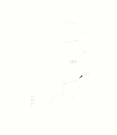 O=C(NC1CCCCC1)N[C@H]1CCN(c2ccccc2)C1=O